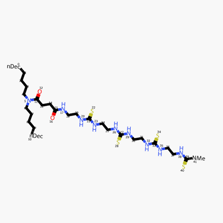 CCCCCCCCCCCCCCN(CCCCCCCCCCCCCC)C(=O)CCC(=O)NCCNC(=S)NCCNC(=S)NCCNC(=S)NCCNC(=S)NC